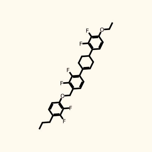 CCCc1ccc(OCc2ccc(C3=CCC(c4ccc(OCC)c(F)c4F)CC3)c(F)c2F)c(F)c1F